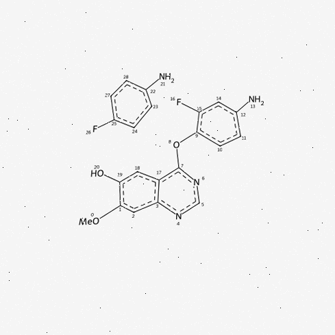 COc1cc2ncnc(Oc3ccc(N)cc3F)c2cc1O.Nc1ccc(F)cc1